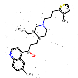 COc1ccc2nccc([C@H](O)CC[C@@H]3CCN(CCCc4sccc4C)C[C@@H]3CC(=O)O)c2c1